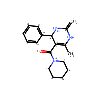 C=C1NC(C)=C(C(=O)N2CCCCC2)C(c2ccccc2)N1